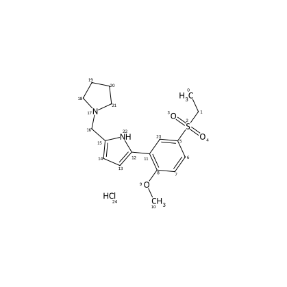 CCS(=O)(=O)c1ccc(OC)c(-c2ccc(CN3CCCC3)[nH]2)c1.Cl